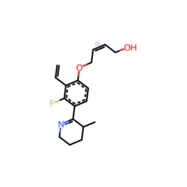 C=Cc1c(OC/C=C\CO)ccc(C2=NCCCC2C)c1F